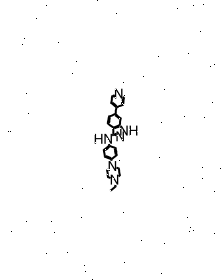 CCN1CCN(c2ccc(Nc3n[nH]c4cc(-c5ccncc5)ccc34)cc2)CC1